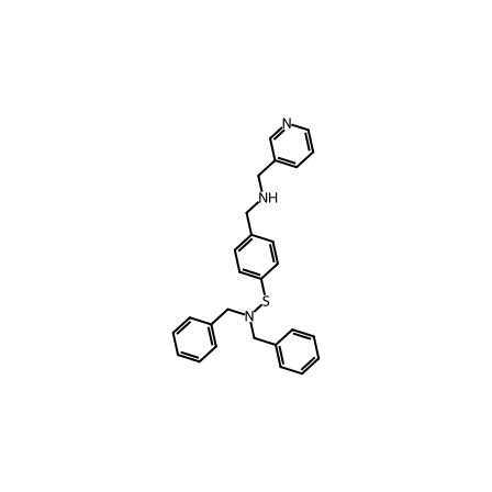 c1ccc(CN(Cc2ccccc2)Sc2ccc(CNCc3cccnc3)cc2)cc1